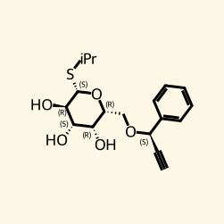 C#C[C@@H](OC[C@H]1O[C@@H](SC(C)C)[C@H](O)[C@@H](O)[C@H]1O)c1ccccc1